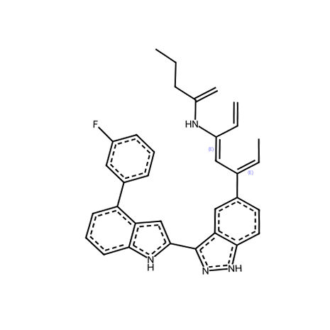 C=C/C(=C\C(=C/C)c1ccc2[nH]nc(-c3cc4c(-c5cccc(F)c5)cccc4[nH]3)c2c1)NC(=C)CCC